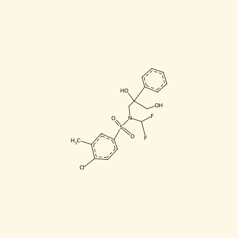 Cc1cc(S(=O)(=O)N(CC(O)(CO)c2ccccc2)C(F)F)ccc1Cl